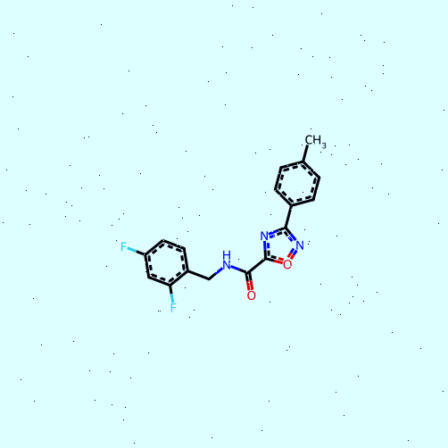 Cc1ccc(-c2noc(C(=O)NCc3ccc(F)cc3F)n2)cc1